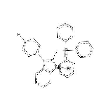 CC(C)n1c(C[PH](c2ccccc2)(c2ccccc2)c2ccccc2)c(-c2ccc(F)cc2)c2ccccc21